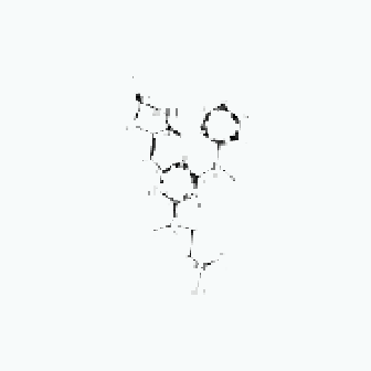 CCN(CC)CCN(C)c1nc(C=C2SC(=O)NC2=O)cc(N(C)c2ccccc2)n1